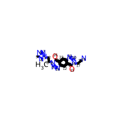 CC(Cn1ncnn1)n1nnc2cc3c(=O)n(CC#N)nnc3cc2c1=O